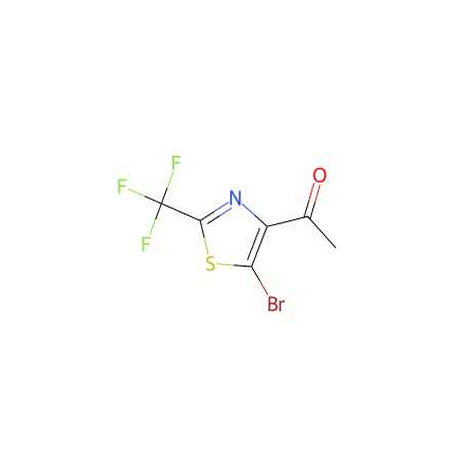 CC(=O)c1nc(C(F)(F)F)sc1Br